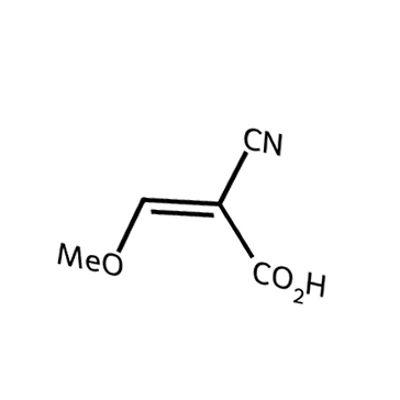 CO/C=C(/C#N)C(=O)O